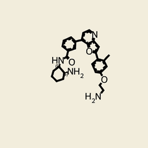 Cc1cc(OCCN)ccc1-c1cc2nccc(-c3cccc(C(=O)N[C@@H]4CCCC[C@@H]4N)c3)c2o1